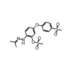 CC(C)=NNc1ccc(Oc2ccc(S(C)(=O)=O)cc2)cc1OS(C)(=O)=O